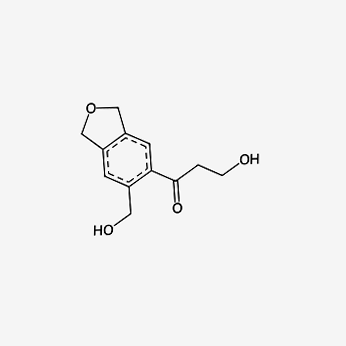 O=C(CCO)c1cc2c(cc1CO)COC2